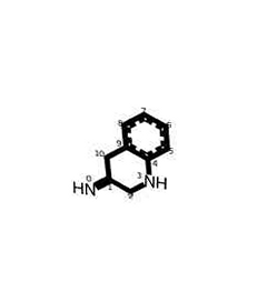 N=C1[C]Nc2ccccc2C1